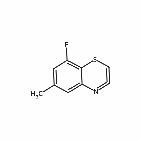 Cc1cc(F)c2c(c1)N=C=CS2